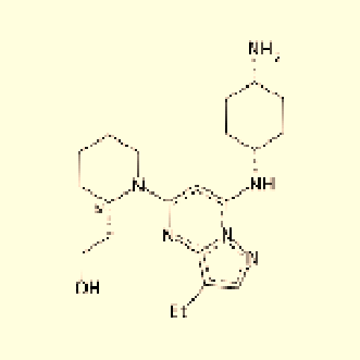 CCc1cnn2c(N[C@H]3CC[C@@H](N)CC3)cc(N3CCCC[C@H]3CCO)nc12